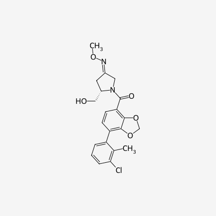 CO/N=C1\C[C@@H](CO)N(C(=O)c2ccc(-c3cccc(Cl)c3C)c3c2OCO3)C1